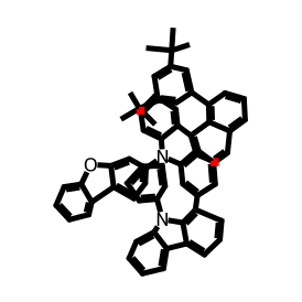 CC(C)(C)c1cc(-c2cccc3cccc(-c4ccccc4N(c4cccc(-c5cccc6c7ccccc7n(-c7ccccc7)c56)c4)c4ccc5c(c4)oc4ccccc45)c23)cc(C(C)(C)C)c1